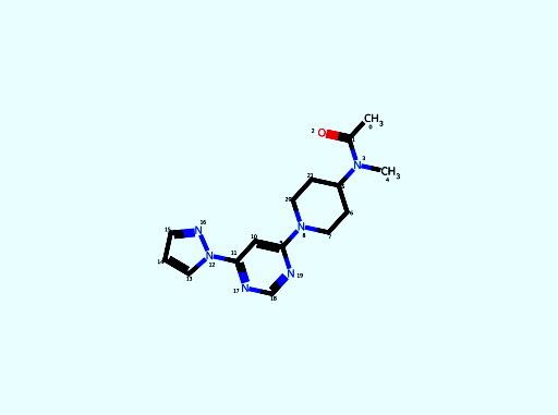 CC(=O)N(C)C1CCN(c2cc(-n3cccn3)ncn2)CC1